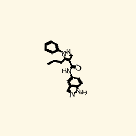 CCCc1c(C(=O)Nc2ccc3[nH]ncc3c2)cnn1-c1ccccc1